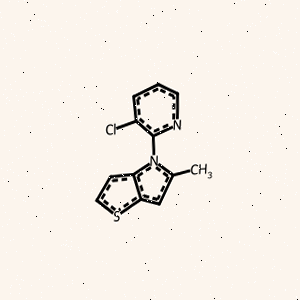 Cc1cc2sccc2n1-c1ncccc1Cl